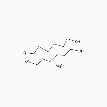 [Mg+2].[O-]CCCCCCO.[O-]CCCCCCO